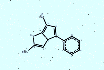 CCCCC1=CC2C(c3ccccc3)=CC(CCCC)=C2S1